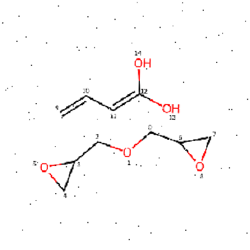 C(OCC1CO1)C1CO1.C=CC=C(O)O